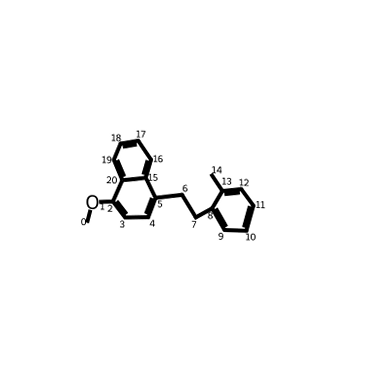 COc1ccc(CCc2ccccc2C)c2ccccc12